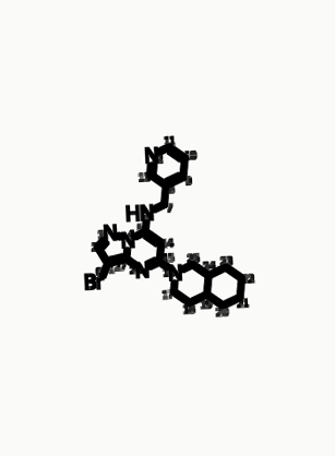 Brc1cnn2c(NCc3cccnc3)cc(N3CCC4CCCCC4C3)nc12